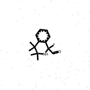 CC1(C)NC(F)(C=O)c2ccccc2C1(C)C